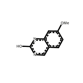 COc1ccc2cnc(O)nc2c1